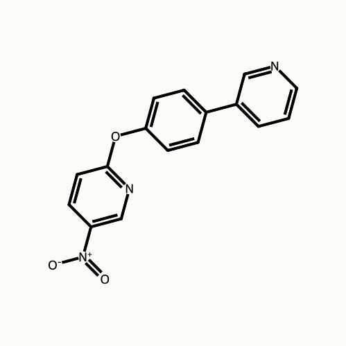 O=[N+]([O-])c1ccc(Oc2ccc(-c3cccnc3)cc2)nc1